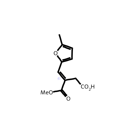 COC(=O)/C(=C/c1ccc(C)o1)CC(=O)O